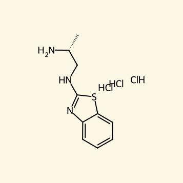 C[C@@H](N)CNc1nc2ccccc2s1.Cl.Cl.Cl